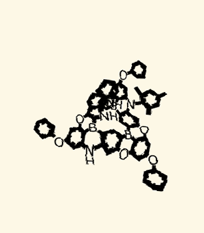 Cc1cc(C)c(N2c3cc4c(cc3B3c5[nH]c6ccccc6c5Oc5cc(Oc6ccccc6)cc2c53)B2c3cc5c(cc3Oc3cc(Oc6ccccc6)cc(c32)O4)Nc2cc(Oc3ccccc3)cc3c2B5c2[nH]c4ccccc4c2O3)c(C)c1